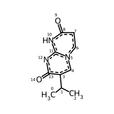 CC(C)c1cn2ccc(=O)[nH]c2nc1=O